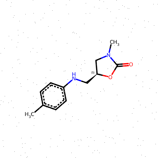 Cc1ccc(NC[C@H]2CN(C)C(=O)O2)cc1